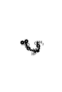 NC(=O)C1CCN(Cc2ccc(C(=O)CNCCN3CCC(OC(=O)Nc4ccccc4-c4ccccc4)CC3)[nH]2)CC1